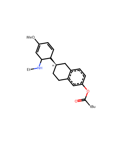 CCNC1C=C(OC)C=CC1[C@@H]1CCc2cc(OC(=O)C(C)(C)C)ccc2C1